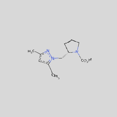 Cc1cc(C)n(C[C@@H]2CCCN2C(=O)O)n1